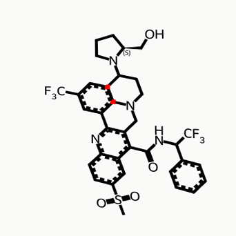 CS(=O)(=O)c1ccc2nc(-c3cccc(C(F)(F)F)c3)c(CN3CCC(N4CCC[C@H]4CO)CC3)c(C(=O)NC(c3ccccc3)C(F)(F)F)c2c1